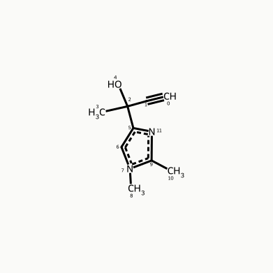 C#CC(C)(O)c1cn(C)c(C)n1